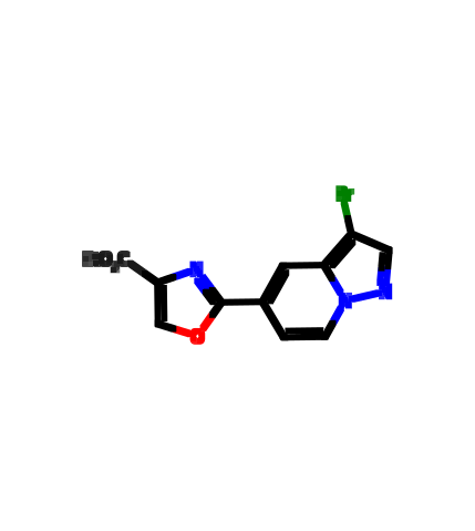 CCOC(=O)c1coc(-c2ccn3ncc(Br)c3c2)n1